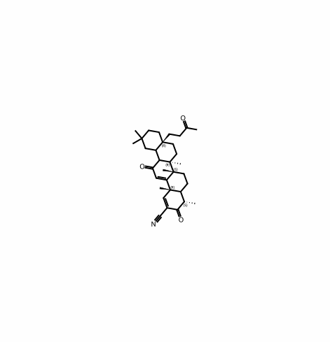 CC(=O)CC[C@]12CCC(C)(C)CC1C1C(=O)C=C3[C@@]4(C)C=C(C#N)C(=O)[C@@H](C)C4CC[C@@]3(C)[C@]1(C)CC2